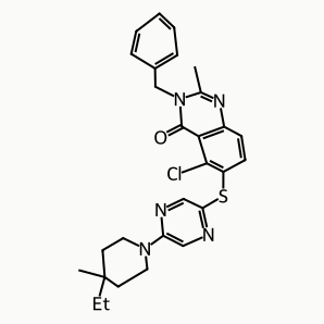 CCC1(C)CCN(c2cnc(Sc3ccc4nc(C)n(Cc5ccccc5)c(=O)c4c3Cl)cn2)CC1